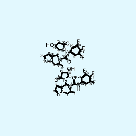 CC1Cn2nccc2C(N2C[C@@H](O)CC2=O)N1C(=O)Nc1cc(F)c(F)c(F)c1.CC1Cn2nccc2CN1C(=O)N(c1cc(F)c(F)c(F)c1)N1C[C@H](O)CC1=O